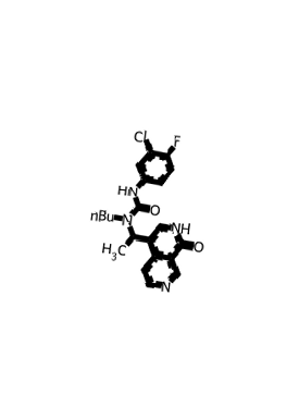 CCCCN(C(=O)Nc1ccc(F)c(Cl)c1)C(C)c1c[nH]c(=O)c2cnccc12